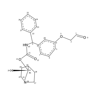 O=CCOc1cccc(C(NC(=O)O[C@H]2CN3CCC2CC3)c2ccccc2)c1